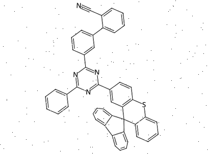 N#Cc1ccccc1-c1cccc(-c2nc(-c3ccccc3)nc(-c3ccc4c(c3)C3(c5ccccc5S4)c4ccccc4-c4ccccc43)n2)c1